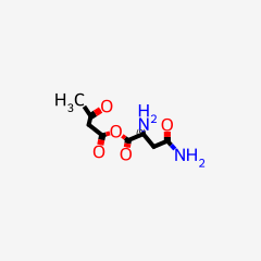 CC(=O)CC(=O)OC(=O)[C@@H](N)CC(N)=O